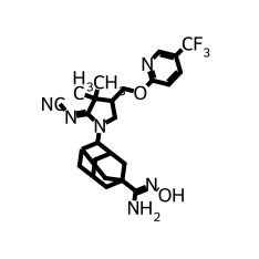 CC1(C)C(=NC#N)N(C2C3CC4CC2CC(C(N)=NO)(C4)C3)CC1COc1ccc(C(F)(F)F)cn1